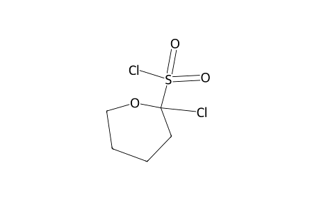 O=S(=O)(Cl)C1(Cl)CCCCO1